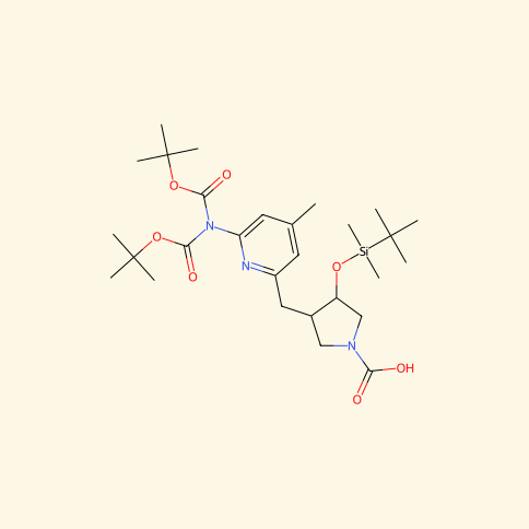 Cc1cc(CC2CN(C(=O)O)CC2O[Si](C)(C)C(C)(C)C)nc(N(C(=O)OC(C)(C)C)C(=O)OC(C)(C)C)c1